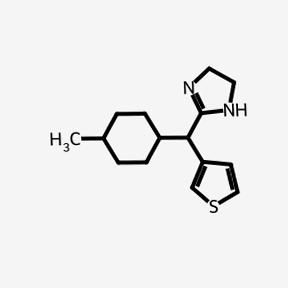 CC1CCC(C(C2=NCCN2)c2ccsc2)CC1